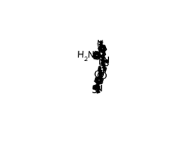 Cc1nc(-c2ccc(S(=O)(=O)N3CCN(c4nc(C(Cc5ccc(N(C)C)cc5)c5ccc(N)cc5)ns4)CC3)cc2)cs1